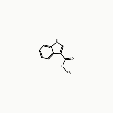 NOC(=O)c1n[nH]c2ccccc12